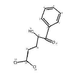 O=C(c1ccccc1)C(O)CCC(Cl)Cl